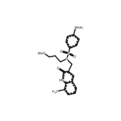 COCCCN(Cc1cc2cccc(C)c2[nH]c1=O)S(=O)(=O)c1ccc(NC(C)=O)cc1